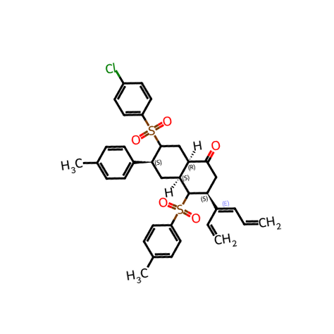 C=C/C=C(\C=C)[C@@H]1CC(=O)[C@@H]2CC(S(=O)(=O)c3ccc(Cl)cc3)[C@H](c3ccc(C)cc3)C[C@@H]2C1S(=O)(=O)c1ccc(C)cc1